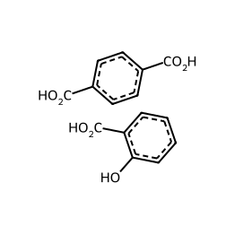 O=C(O)c1ccc(C(=O)O)cc1.O=C(O)c1ccccc1O